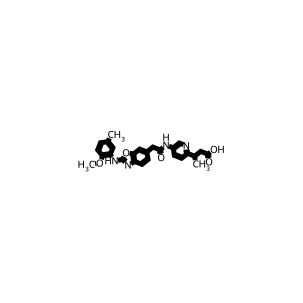 COc1ccc(C)cc1Nc1nc2ccc(CC(=O)Nc3ccc(C(C)CC(=O)O)nc3)cc2o1